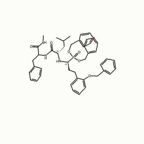 CNC(=O)C(Cc1ccccc1)NC(=O)[C@H](CC(C)C)N[C@H](CCc1ccccc1OCc1ccccc1)P(=O)(OCc1ccccc1)OCc1ccccc1